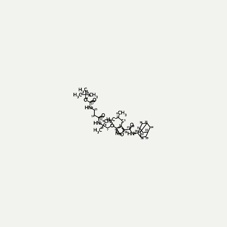 CC(C)Sc1c(OCC(C)(C)NC(=O)CCNC(=O)OC(C)(C)C)noc1C(=O)NC1C2CC3CC(C2)CC1C3